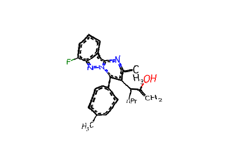 C=C(O)C(CCC)c1c(C)nc2c3cccc(F)c3nn2c1-c1ccc(C)cc1